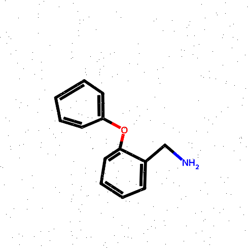 NCc1ccccc1Oc1ccccc1